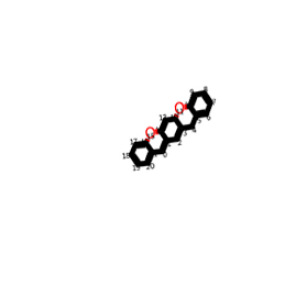 C1=C2C=C3Cc4ccccc4OC3C=C2Oc2ccccc21